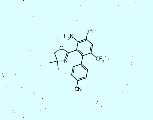 CC[CH]c1cc(C(F)(F)F)c(-c2ccc(C#N)cc2)c(C2=NC(C)(C)CO2)c1N